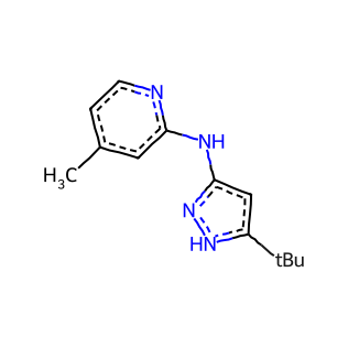 Cc1ccnc(Nc2cc(C(C)(C)C)[nH]n2)c1